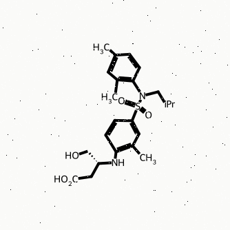 Cc1ccc(N(CC(C)C)S(=O)(=O)c2ccc(N[C@@H](CO)CC(=O)O)c(C)c2)c(C)c1